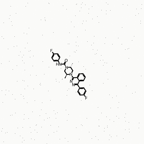 C[C@@H]1CN(c2nnc(-c3ccc(F)cc3)c3ccccc23)[C@@H](C)CN1C(=O)Nc1ccc(F)cc1